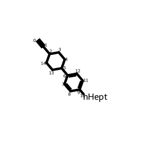 C#CC1CCC(c2ccc(CCCCCCC)cc2)CC1